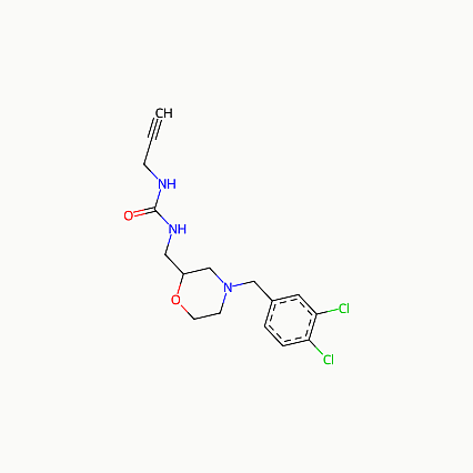 C#CCNC(=O)NCC1CN(Cc2ccc(Cl)c(Cl)c2)CCO1